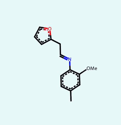 COc1cc(C)ccc1N=CCc1ccco1